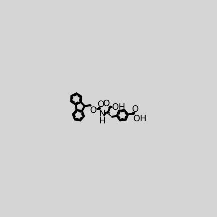 O=C(N[C@@H](Cc1ccc(C(=O)O)cc1)C(=O)O)OCC1c2ccccc2-c2ccccc21